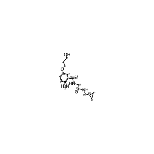 Nc1ccc(OCCCO)cc1C(=O)NCC(=O)NCC1CC1